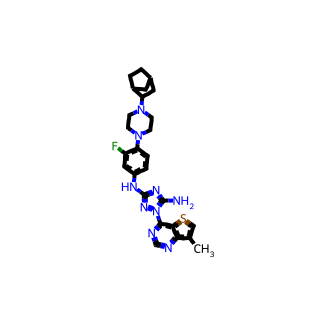 Cc1csc2c(-n3nc(Nc4ccc(N5CCN(C6CC7CCC6C7)CC5)c(F)c4)nc3N)ncnc12